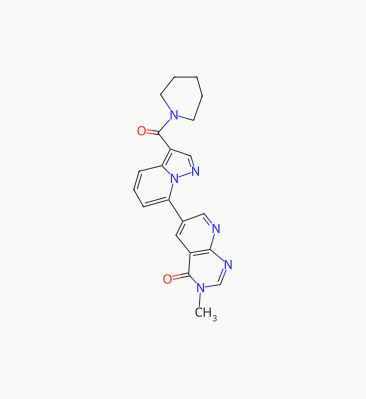 Cn1cnc2ncc(-c3cccc4c(C(=O)N5CCCCC5)cnn34)cc2c1=O